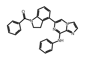 O=C(c1ccccc1)N1CCc2c(-c3cn4ccnc4c(Nc4cc[c]cc4)n3)cccc21